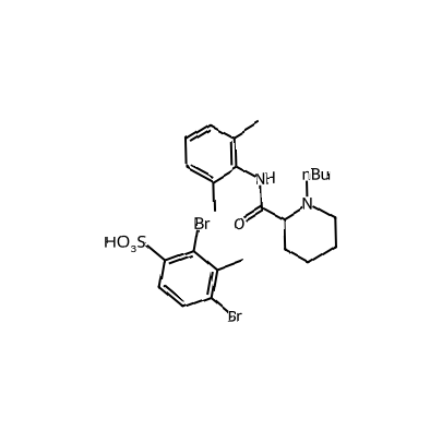 CCCCN1CCCCC1C(=O)Nc1c(C)cccc1C.Cc1c(Br)ccc(S(=O)(=O)O)c1Br